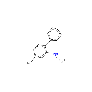 N#Cc1ccc(-c2ccccc2)c(NC(=O)O)c1